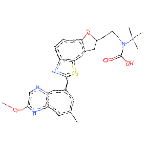 COc1cnc2c(-c3nc4ccc5c(c4s3)CC(CN(C(=O)O)C(C)(C)C)O5)cc(C)cc2n1